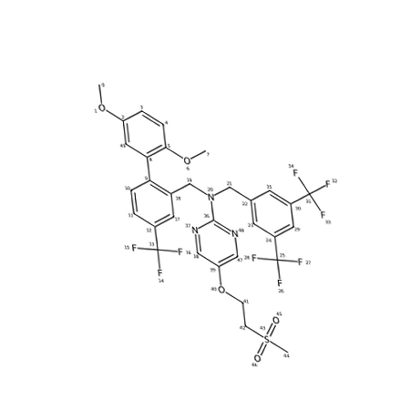 COc1ccc(OC)c(-c2ccc(C(F)(F)F)cc2CN(Cc2cc(C(F)(F)F)cc(C(F)(F)F)c2)c2ncc(OCCS(C)(=O)=O)cn2)c1